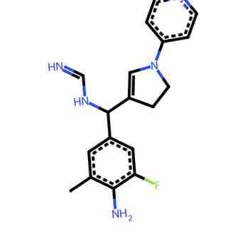 Cc1cc(C(NC=N)C2=CN(c3ccncc3)CC2)cc(F)c1N